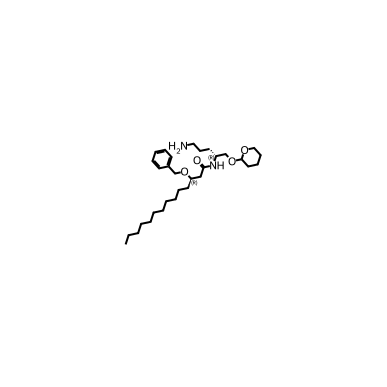 CCCCCCCCCCC[C@H](CC(=O)N[C@H](CCCN)COC1CCCCO1)OCc1ccccc1